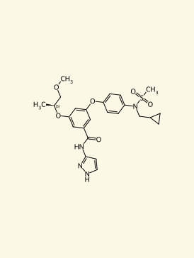 COC[C@H](C)Oc1cc(Oc2ccc(N(CC3CC3)S(C)(=O)=O)cc2)cc(C(=O)Nc2cc[nH]n2)c1